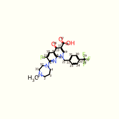 CN1CCCN(c2nc3c(cc2F)c(=O)c(C(=O)O)cn3Cc2ccc(C(F)(F)F)cc2)CC1